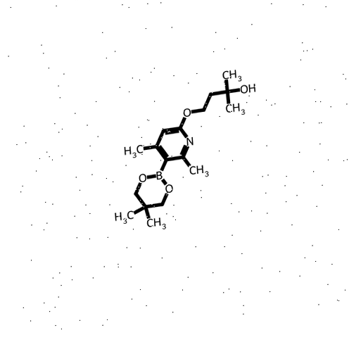 Cc1cc(OCCC(C)(C)O)nc(C)c1B1OCC(C)(C)CO1